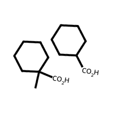 CC1(C(=O)O)CCCCC1.O=C(O)C1CCCCC1